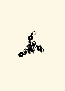 COc1ccc(COC(=O)C2=C(/C=C/c3ccc(CCl)cc3)CS[C@@H]3[C@H](NC(=O)Cc4ccccc4)C(=O)N23)cc1